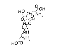 N[C@H](CNc1ccn([C@@H]2O[C@H](CO)[C@@H](OC(=O)C[C@H](N)C(=O)O)[C@@H]2O)c(=O)n1)CC(=O)O